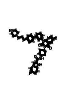 O=C(N[C@H]1CC[C@@H](n2c(=O)c3cc(F)cnc3n(-c3cccc(-c4ccc(CCCN5CCNCC5)cc4)c3)c2=O)CC1)C1=CN2C=C(F)C=CC2N1